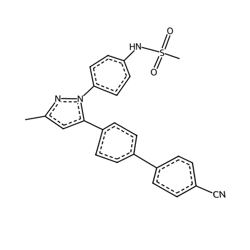 Cc1cc(-c2ccc(-c3ccc(C#N)cc3)cc2)n(-c2ccc(NS(C)(=O)=O)cc2)n1